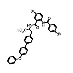 CC(C)(C)c1ccc(C(=O)Nc2ccc(Br)cc2C(=O)N[C@@H](Cc2ccc(-c3ccc(Oc4ccccc4)cc3)cc2)C(=O)O)cc1